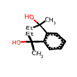 CCC(C)(O)c1ccccc1C(C)(O)CC